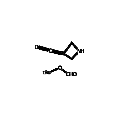 CC(C)(C)OC=O.O=C=C1CNC1